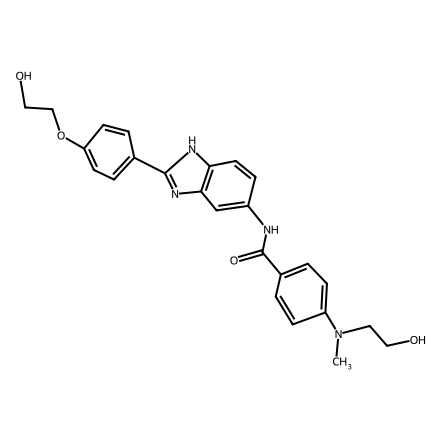 CN(CCO)c1ccc(C(=O)Nc2ccc3[nH]c(-c4ccc(OCCO)cc4)nc3c2)cc1